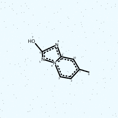 Cc1ccn2nc(O)nc2c1